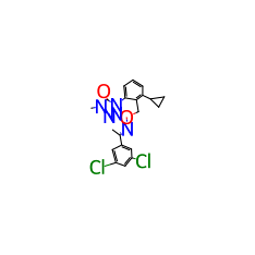 CC(=NOCc1c(C2CC2)cccc1-n1nnn(C)c1=O)c1cc(Cl)cc(Cl)c1